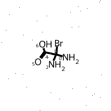 NC(N)(Br)C(=O)O